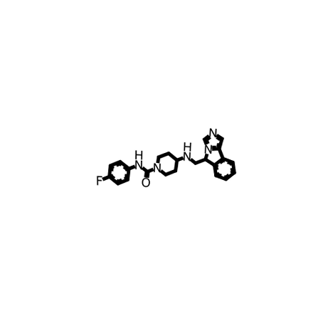 O=C(Nc1ccc(F)cc1)N1CCC(NCC2c3ccccc3-c3cncn32)CC1